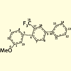 COc1[c]ccc(-c2ccc(-c3ccccc3)cc2C(F)(F)F)c1